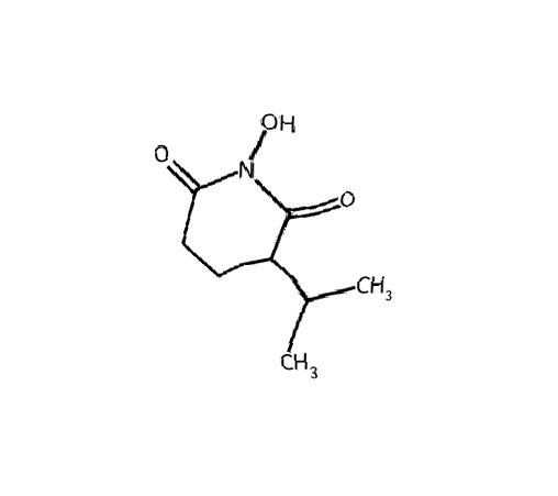 CC(C)C1CCC(=O)N(O)C1=O